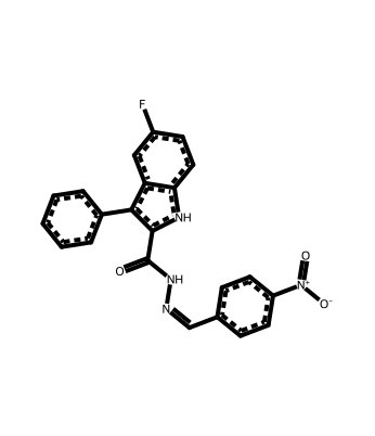 O=C(N/N=C\c1ccc([N+](=O)[O-])cc1)c1[nH]c2ccc(F)cc2c1-c1ccccc1